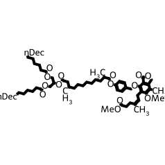 CCCCCCCCCCCCCCCC(=O)OCC(COC(=O)CCCCCCCCCCCCCCC)OC(=O)CC(C)CCCCCCCC(C)C(=O)Oc1ccc(COc2c(CC=C(C)CCC(=O)OC)c(OC)c(C)c3c2C(=O)OC3)cc1